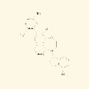 Cc1cc(N)nc(-c2cc3ncnc4c3c(c2Cl)OCCN4C2CCc3c(N)cncc32)c1C(F)(F)F